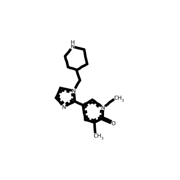 Cc1cc(-c2nccn2CC2CCNCC2)cn(C)c1=O